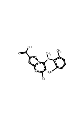 Cc1cccc(C)c1N(C)c1cc(Cl)nc2cc(C(=O)O)nn12